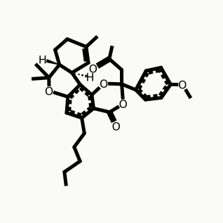 CCCCCc1cc2c(c3c1C(=O)OC(CC(C)=O)(c1ccc(OC)cc1)O3)[C@@H]1C=C(C)CC[C@H]1C(C)(C)O2